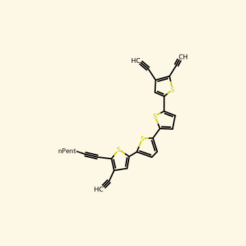 C#Cc1cc(-c2ccc(-c3ccc(-c4cc(C#C)c(C#CCCCCC)s4)s3)s2)sc1C#C